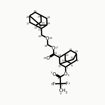 CC(F)(F)C(=O)OC1C2CC3CC(C2)C(C(=O)OCOCC2C4CC5CC(C4)CC2C5)C1C3